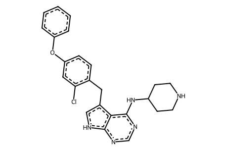 Clc1cc(Oc2ccccc2)ccc1Cc1c[nH]c2ncnc(NC3CCNCC3)c12